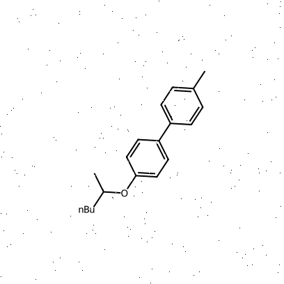 CCCCC(C)Oc1ccc(-c2ccc(C)cc2)cc1